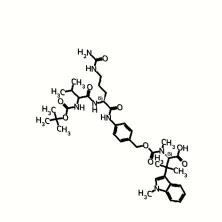 CC(C)C(NC(=O)OC(C)(C)C)C(=O)N[C@@H](CCCNC(N)=O)C(=O)Nc1ccc(COC(=O)N(C)[C@H](C(=O)O)C(C)(C)c2cn(C)c3ccccc23)cc1